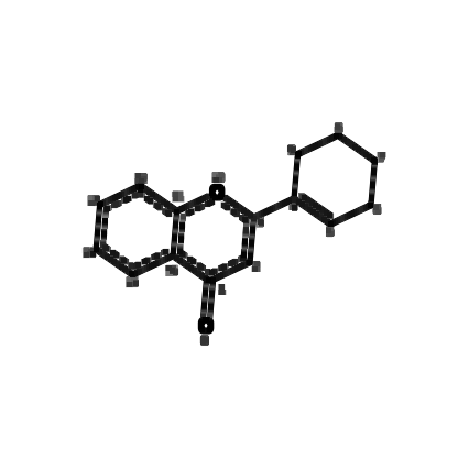 O=c1cc(C2=CCCCC2)oc2[c]cccc12